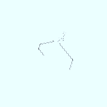 CCCCC/C=C\C/C=C\CCCCCCCC(=O)OC[C@H](COP(=O)(O)OCC[N+](C)(C)C)OC(=O)CCCCCCCCCCC/C=C\CCCCCC